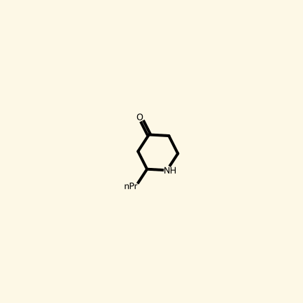 CCCC1CC(=O)CCN1